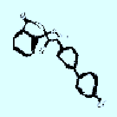 COC1(C(=O)CC2CCC(c3ccc(Cl)cc3)CC2)OC(=O)c2ccccc21